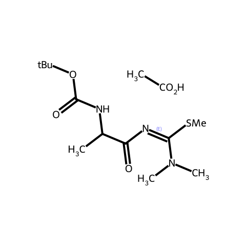 CC(=O)O.CS/C(=N/C(=O)C(C)NC(=O)OC(C)(C)C)N(C)C